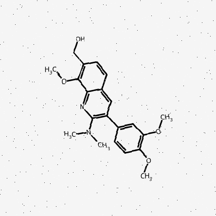 COc1ccc(-c2cc3ccc(CO)c(OC)c3nc2N(C)C)cc1OC